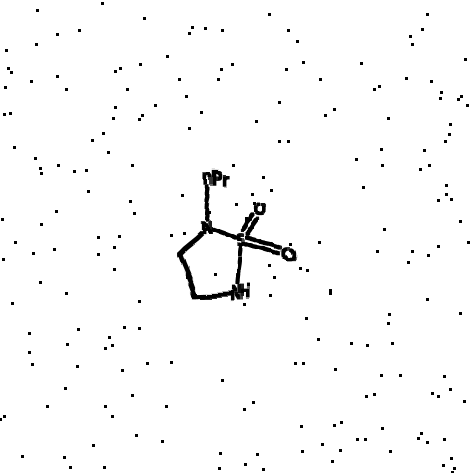 CCCN1CCNS1(=O)=O